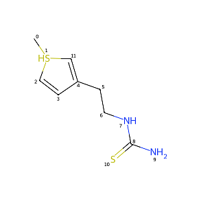 C[SH]1C=CC(CCNC(N)=S)=C1